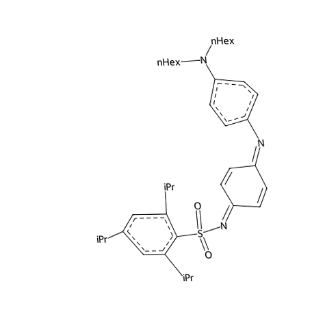 CCCCCCN(CCCCCC)c1ccc(N=C2C=CC(=NS(=O)(=O)c3c(C(C)C)cc(C(C)C)cc3C(C)C)C=C2)cc1